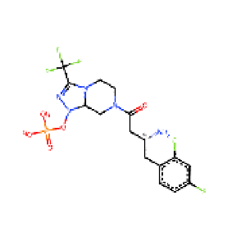 N[C@@H](CC(=O)N1CCN2C(C(F)(F)F)=NN(OP(=O)(O)O)C2C1)Cc1ccc(F)cc1F